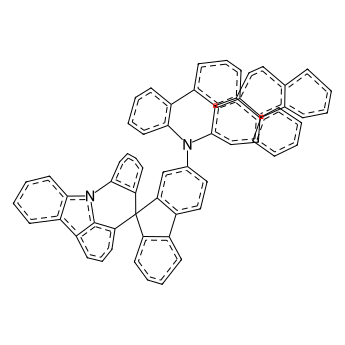 c1ccc(-c2cccc(-c3ccccc3N(c3ccc4c(c3)C3(c5ccccc5-4)c4ccccc4-n4c5ccccc5c5cccc3c54)c3ccc4c(ccc5ccccc54)c3)c2)cc1